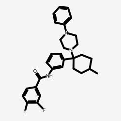 CC1CCC(c2cccc(NC(=O)c3ccc(F)c(F)c3)c2)(N2CCN(c3ccccc3)CC2)CC1